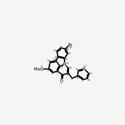 COc1cc2c(=O)c(Cc3cccnc3)cn3c4cc(Br)ccc4c(c1)c23